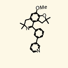 COc1cc2c(c3c1OC(C)(C)C3)C(c1cccc(-c3cccnc3)c1)=NC(C)(C)C2